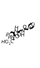 CC(C)CC(NC(=O)CNC(=O)CN1CCOCC1)C(=O)NCC(=O)O